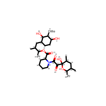 COC1C(O)CCC(CC(C)C(OC(=O)C2CCCCN2C(=O)C(=O)C2(O)OC(C(C)C)C(C)CC2C)C(C)C)C1O